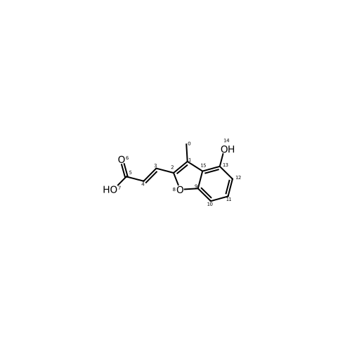 Cc1c(C=CC(=O)O)oc2cccc(O)c12